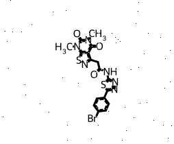 Cn1c(=O)c2c(CC(=O)Nc3nnc(-c4ccc(Br)cc4)s3)nsc2n(C)c1=O